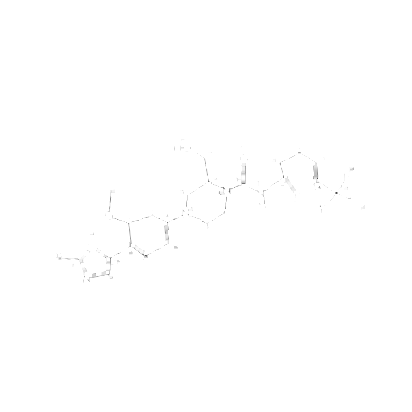 COC1CC(N2CCN(C(=O)NC3=CC(C(F)(F)F)=CCC3)C(CO)C2)=CC=C1c1cnc(C)o1